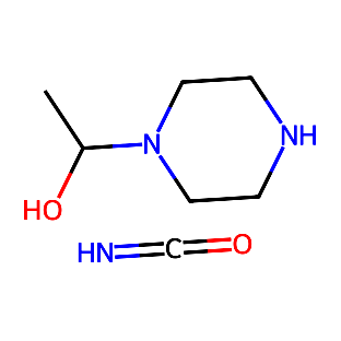 CC(O)N1CCNCC1.N=C=O